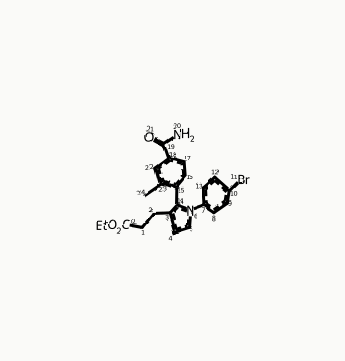 CCOC(=O)CCc1ccn(-c2ccc(Br)cc2)c1-c1ccc(C(N)=O)cc1C